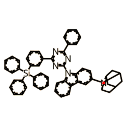 c1ccc(-c2nc(-c3cccc([Si](c4ccccc4)(c4ccccc4)c4ccccc4)c3)nc(-n3c4ccccc4c4cc(N5C6CC7CC(C6)CC5C7)ccc43)n2)cc1